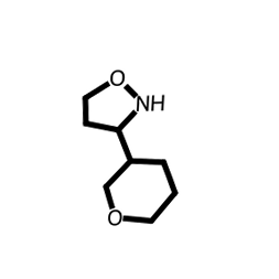 C1COCC(C2CCON2)C1